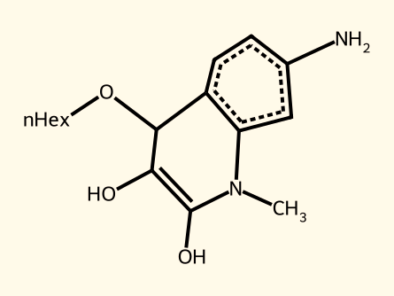 CCCCCCOC1C(O)=C(O)N(C)c2cc(N)ccc21